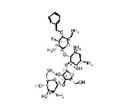 NC[C@@H]1O[C@H](O[C@H]2[C@@H](O)[C@H](O[C@@H]3[C@@H](O)[C@H](N)C[C@H](N)[C@H]3O[C@H]3O[C@H](CN)[C@@H](OCc4ccccc4)[C@H](F)[C@H]3N)O[C@@H]2CO)[C@H](N)[C@@H](O)[C@@H]1O